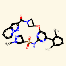 Cc1cccc(C)c1-c1cc(OC2CN(C(=O)c3cc4ccccn4n3)C2)nc(NS(=O)(=O)c2cnn(C)c2)n1